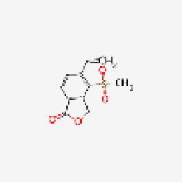 C=Cc1ccc2c(c1S(C)(=O)=O)COC2=O